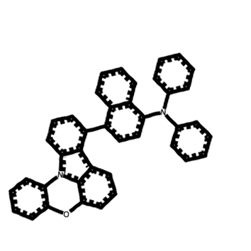 c1ccc(N(c2ccccc2)c2ccc(-c3cccc4c3c3cccc5c3n4-c3ccccc3O5)c3ccccc23)cc1